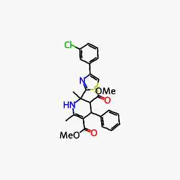 COC(=O)C1=C(C)NC(C)(c2nc(-c3cccc(Cl)c3)cs2)C(C(=O)OC)C1c1ccccc1